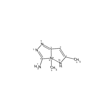 CC1=CC2=NN=C(N)[N+]2(C)N1